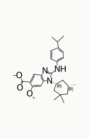 COC(=O)c1cc2nc(Nc3ccc(C(C)C)cc3)n([C@@H]3C[C@H](C)CC(C)(C)C3)c2cc1OC